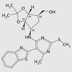 CSc1nc(C)c(-c2nc3ccccc3s2)c(N[C@@H]2C[C@H](CO)[C@H]3OC(C)(C)O[C@H]32)n1